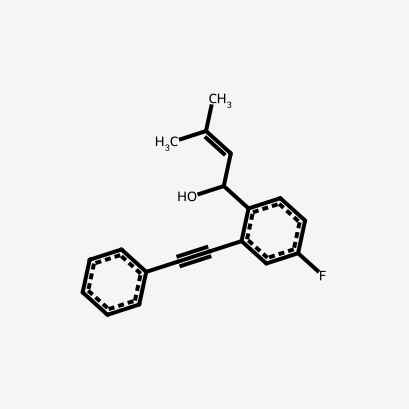 CC(C)=CC(O)c1ccc(F)cc1C#Cc1ccccc1